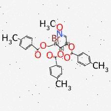 CON=C[C@@H](OC(=O)c1ccc(C)cc1)[C@H](OC(=O)c1ccc(C)cc1)[C@@H](Br)COC(=O)c1ccc(C)cc1